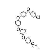 COc1ccc(Oc2cccc(Oc3ccc(Oc4ccc(C(=O)c5ccc(Cl)cc5)cc4)cc3)c2)cc1